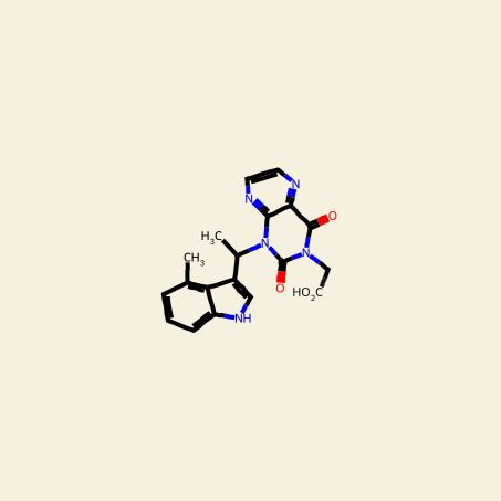 Cc1cccc2[nH]cc(C(C)n3c(=O)n(CC(=O)O)c(=O)c4nccnc43)c12